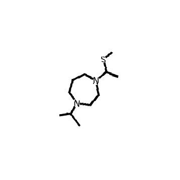 CSC(C)N1CCCN(C(C)C)CC1